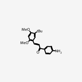 COc1cc(OC)c(C(C)(C)C)cc1/C=C/C(=O)c1ccc(N)cc1